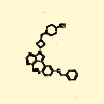 Nc1ncnc2c1c(-c1cccc(OCc3ccccc3)c1)cn2[C@H]1C[C@H](CN2CCC(O)CC2)C1